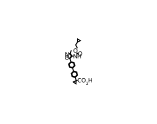 Cc1noc(-c2ccc(-c3ccc(C4(C(=O)O)CC4)cc3)cc2)c1NC(=O)OCCC1CC1